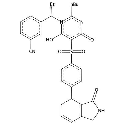 CCCCc1nc(=O)c(S(=O)(=O)c2ccc(C3CC=CC4=C3C(=O)NC4)cc2)c(O)n1[C@@H](CC)c1cccc(C#N)c1